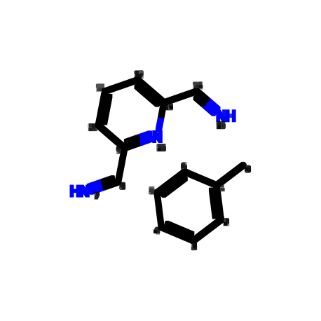 Cc1ccccc1.N=Cc1cccc(C=N)n1